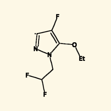 CCOc1c(F)[c]nn1CC(F)F